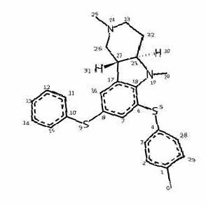 Cc1ccc(Sc2cc(Sc3ccccc3)cc3c2N(C)[C@@H]2CCN(C)C[C@@H]32)cc1